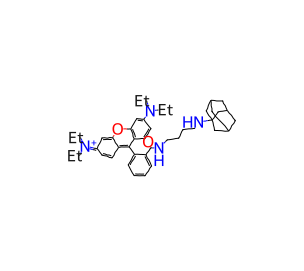 CCN(CC)c1ccc2c(-c3ccccc3C(=O)NCCCCNC34CC5CC(CC(C5)C3)C4)c3ccc(=[N+](CC)CC)cc-3oc2c1